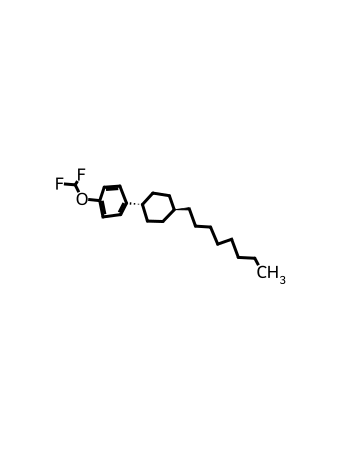 CCCCCCCC[C@H]1CC[C@H](c2ccc(OC(F)F)cc2)CC1